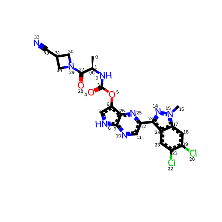 C[C@@H](NC(=O)Oc1c[nH]c2ncc(-c3nn(C)c4cc(Cl)c(Cl)cc34)nc12)C(=O)N1CC(C#N)C1